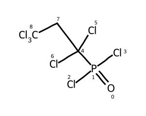 O=P(Cl)(Cl)C(Cl)(Cl)CC(Cl)(Cl)Cl